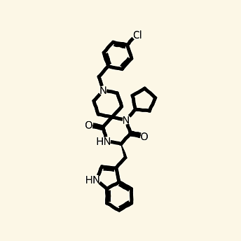 O=C1[C@@H](Cc2c[nH]c3ccccc23)NC(=O)C2(CCN(Cc3ccc(Cl)cc3)CC2)N1C1CCCC1